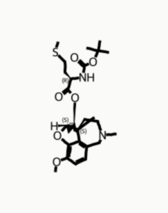 COc1ccc2c3c1O[C@H]1C[C@@H](OC(=O)[C@@H](CCSC)NC(=O)OC(C)(C)C)C(C)[C@@]31CCN(C)C2